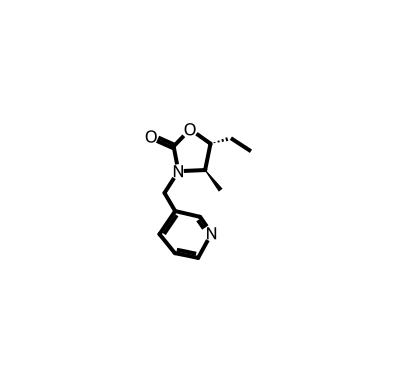 CC[C@H]1OC(=O)N(Cc2cccnc2)[C@@H]1C